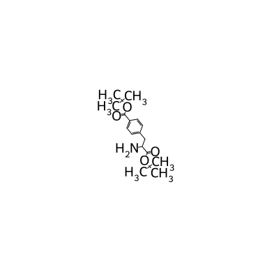 CC(C)(C)OC(=O)c1ccc(CC(N)C(=O)OC(C)(C)C)cc1